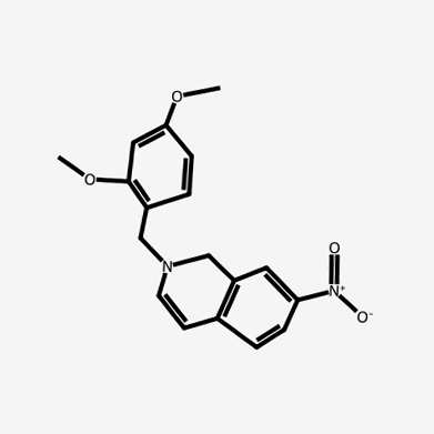 COc1ccc(CN2C=Cc3ccc([N+](=O)[O-])cc3C2)c(OC)c1